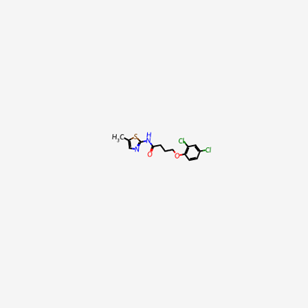 Cc1cnc(NC(=O)CCCOc2ccc(Cl)cc2Cl)s1